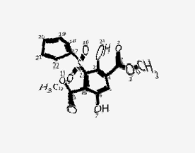 COC(=O)c1cc(O)c(C(=O)OC)c(S(=O)(=O)c2ccccc2)c1O